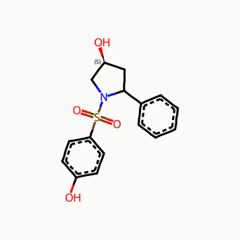 O=S(=O)(c1ccc(O)cc1)N1C[C@@H](O)CC1c1ccccc1